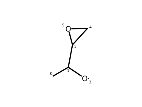 CC([O])C1CO1